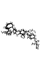 CCCCc1nc(C)n(-c2ncc(OCC(=O)NCC)cn2)c(=O)c1Cc1ccc(-c2ccccc2-c2nnn[nH]2)cc1